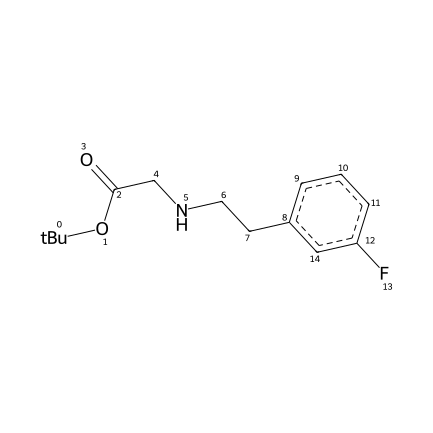 CC(C)(C)OC(=O)CNCCc1cccc(F)c1